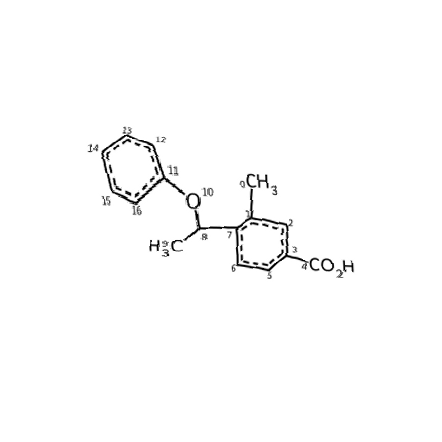 Cc1cc(C(=O)O)ccc1C(C)Oc1ccccc1